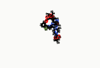 CCC(=O)OC1COc2cccc(F)c2-c2nc3c(cc2F)c(N2CCN(C(=O)OC(C)(C)C)C[C@@H]2C)nc(=O)n3-c2c(ccnc2C(C)C)C1OC(=O)CC